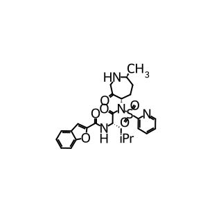 CC(C)C[C@H](NC(=O)c1cc2ccccc2o1)C(=O)N([C@H]1CC[C@H](C)NCC1=O)S(=O)(=O)c1ccccn1